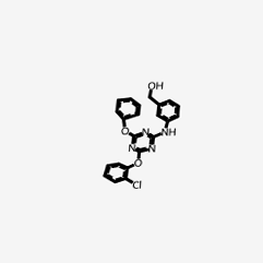 OCc1cccc(Nc2nc(Oc3ccccc3)nc(Oc3ccccc3Cl)n2)c1